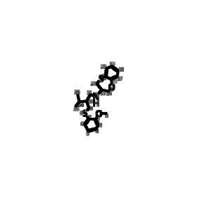 COc1ccccc1SCC(CNC1COc2ccccc2SC1)C(C)C